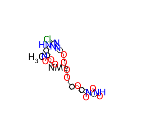 CNC(=O)COc1cc2cc(Nc3nc(N4CCC(OCCOCCOCCOCCc5cccc(Oc6ccc7c(c6)CN(C6CCC(=O)NC6=O)C7=O)c5)CC4)ncc3Cl)ccc2n(C)c1=O